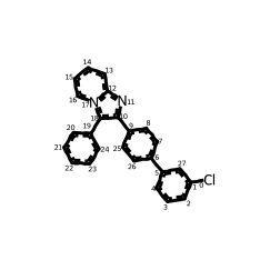 Clc1cccc(-c2ccc(-c3nc4ccccn4c3-c3ccccc3)cc2)c1